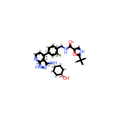 CC(C)(C)c1ncc(C(=O)NCc2ccc(-c3ccnc4[nH]nc(N[C@H]5CC[C@H](O)CC5)c34)cc2F)o1